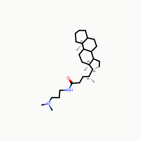 C[C@H](CCC(=O)NCCC[N+](C)C)[C@H]1CCC2C3CCC4CCCC[C@]4(C)C3CC[C@@]21C